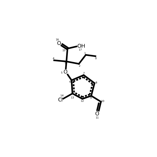 CCCC(C)(Oc1ccc(C=O)cc1Cl)C(=O)O